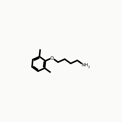 Cc1cccc(C)c1OCCCCN